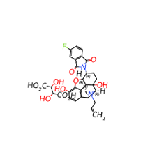 C=CCN1CC[C@]23c4c5ccc(O)c4O[C@H]2[C@H](N2C(=O)c4ccc(F)cc4C2=O)CCC3(O)[C@H]1C5.O=C(O)C(O)C(O)C(=O)O